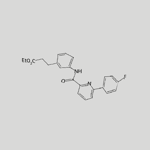 CCOC(=O)CCc1cccc(NC(=O)c2cccc(-c3ccc(F)cc3)n2)c1